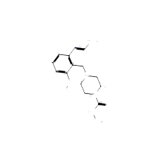 CCOc1cccc(/C=C/C#N)c1CN1CCN(C(=O)OC(C)(C)C)CC1